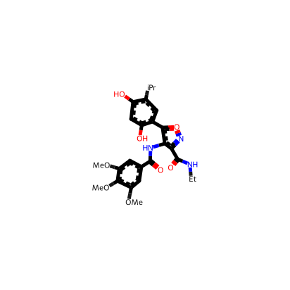 CCNC(=O)c1noc(-c2cc(C(C)C)c(O)cc2O)c1NC(=O)c1cc(OC)c(OC)c(OC)c1